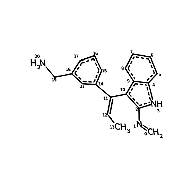 C=Nc1[nH]c2ccccc2c1/C(=C\C)c1cccc(CN)c1